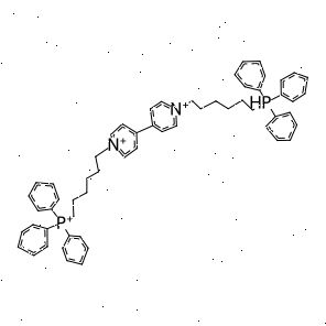 c1ccc([P+](CCCCCC[n+]2ccc(-c3cc[n+](CCCCCC[PH](c4ccccc4)(c4ccccc4)c4ccccc4)cc3)cc2)(c2ccccc2)c2ccccc2)cc1